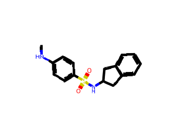 CNc1ccc(S(=O)(=O)NC2Cc3ccccc3C2)cc1